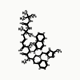 Cc1noc(COC[C@@H](Cc2ccccc2)N(C)C(=O)[C@@H](Cc2ccc3ccccc3c2)N(C)C(=O)/C=C/CC(C)(C)NC(=O)OC(C)(C)C)n1